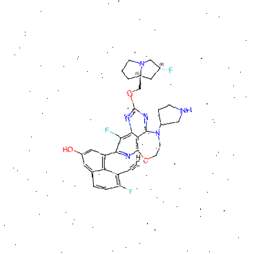 C#Cc1c(F)ccc2cc(O)cc(-c3nc4c5c(nc(OC[C@@]67CCCN6C[C@H](F)C7)nc5c3F)N(C3CCNC3)CCO4)c12